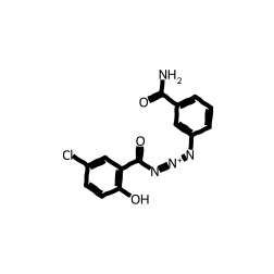 NC(=O)c1cccc(N=[N+]=NC(=O)c2cc(Cl)ccc2O)c1